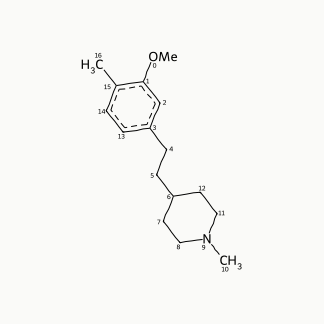 COc1cc(CCC2CCN(C)CC2)ccc1C